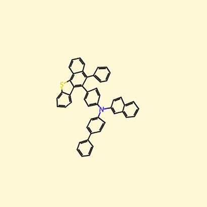 c1ccc(-c2ccc(N(c3ccc(-c4c(-c5ccccc5)c5ccccc5c5sc6ccccc6c45)cc3)c3ccc4ccccc4c3)cc2)cc1